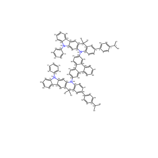 CC(C)c1ccc(-c2ccc3c(c2)C(C)(C)c2cc4c5ccccc5n(-c5ccccc5)c4cc2N3c2ccc3c4ccc(N5c6ccc(-c7ccc(C(C)C)cc7)cc6C(C)(C)c6cc7c8ccccc8n(-c8ccccc8)c7cc65)cc4c4ccccc4c3c2)cc1